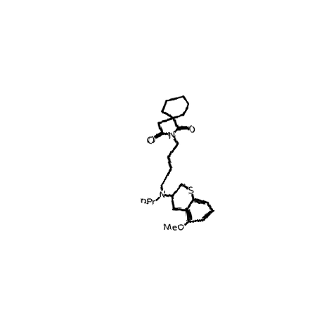 CCCN(CCCCN1C(=O)CC2(CCCCC2)C1=O)C1CSc2cccc(OC)c2C1